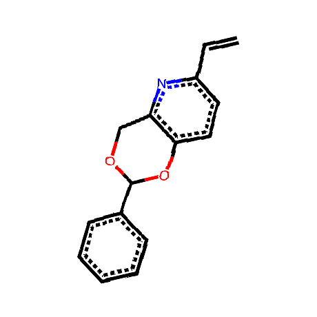 C=Cc1ccc2c(n1)COC(c1ccccc1)O2